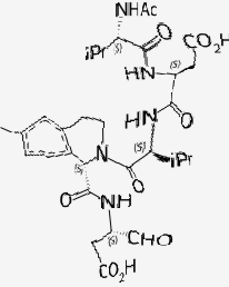 CC(=O)N[C@H](C(=O)N[C@@H](CC(=O)O)C(=O)N[C@H](C(=O)N1CCc2cc(C)ccc2[C@H]1C(=O)N[C@H](C=O)CC(=O)O)C(C)C)C(C)C